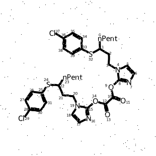 CCCCCC(CCn1ccnc1OC(=O)C(=O)Oc1nccn1CCC(CCCCC)Sc1ccc(Cl)cc1)Sc1ccc(Cl)cc1